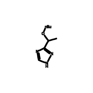 CCCCOC(C)c1nc[nH]n1